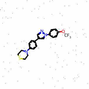 FC(F)(F)Oc1ccc(-n2cc(-c3ccc(N4CCSCC4)cc3)cn2)cc1